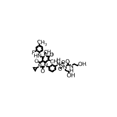 Cc1ccc(Nc2c3c(=O)n(C4CC4)c(=O)n(-c4cccc(NS(=O)(=O)N(CCO)C(=O)NCCO)c4)c3c(C)c(=O)n2C)c(F)c1